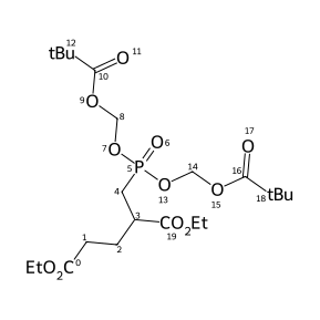 CCOC(=O)CCC(CP(=O)(OCOC(=O)C(C)(C)C)OCOC(=O)C(C)(C)C)C(=O)OCC